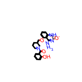 NC1=N[S+]([O-])Nc2cccc(OCC3CCCN(C(=O)c4ccccc4O)C3)c21